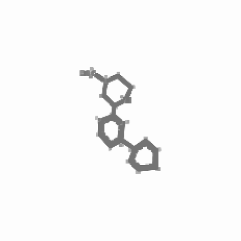 CCOC(=O)N1CCNC(c2nccc(-c3ccccc3)n2)C1